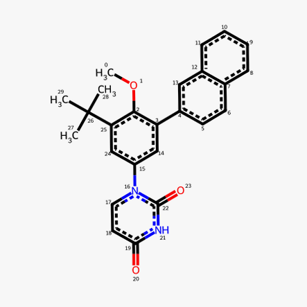 COc1c(-c2ccc3c[c]ccc3c2)cc(-n2ccc(=O)[nH]c2=O)cc1C(C)(C)C